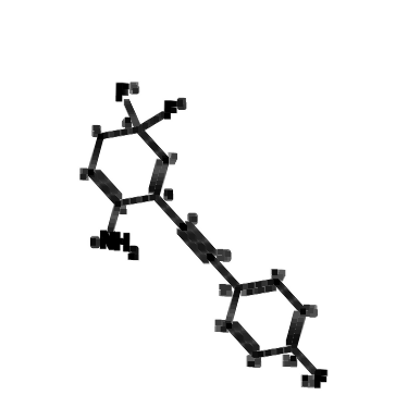 NC1=CCC(F)(F)C=C1C#Cc1ccc(F)cc1